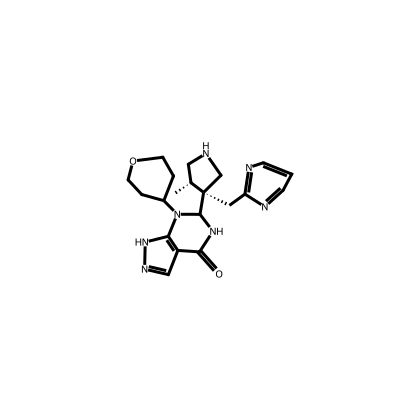 C[C@@H]1CNC[C@@]1(Cc1ncccn1)C1NC(=O)c2cn[nH]c2N1C1CCOCC1